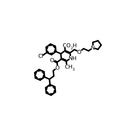 CC1=C(C(=O)OCCC(c2ccccc2)c2ccccc2)C(c2cccc(Cl)c2)C(C(=O)O)=C(COCCN2CCCC2)N1